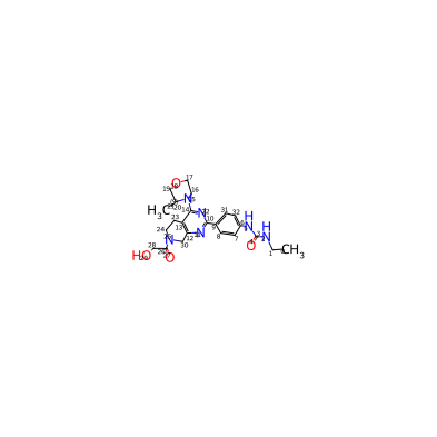 CCNC(=O)Nc1ccc(-c2nc3c(c(N4CCOC[C@@H]4C)n2)CCN(C(=O)CO)C3)cc1